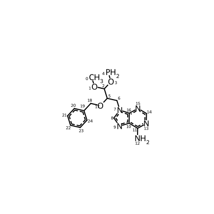 COC(OP)C(Cn1cnc2c(N)ncnc21)OCc1ccccc1